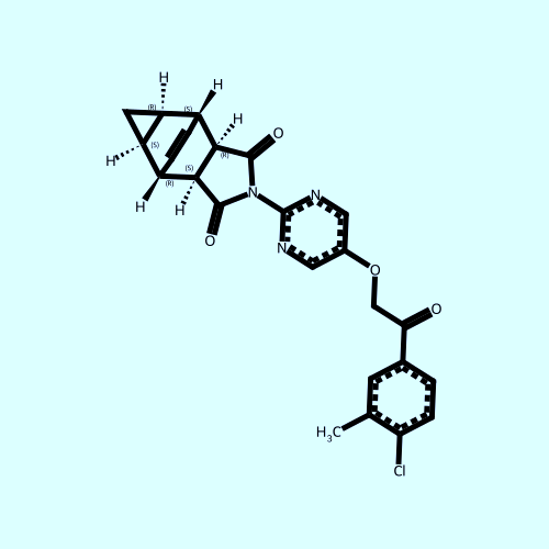 Cc1cc(C(=O)COc2cnc(N3C(=O)[C@@H]4[C@@H]5C=C[C@@H]([C@H]6C[C@@H]56)[C@@H]4C3=O)nc2)ccc1Cl